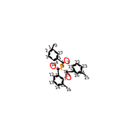 Cc1cccc(C(=O)P(C(=O)c2cccc(C)c2)C(=O)c2cccc(C)c2)c1